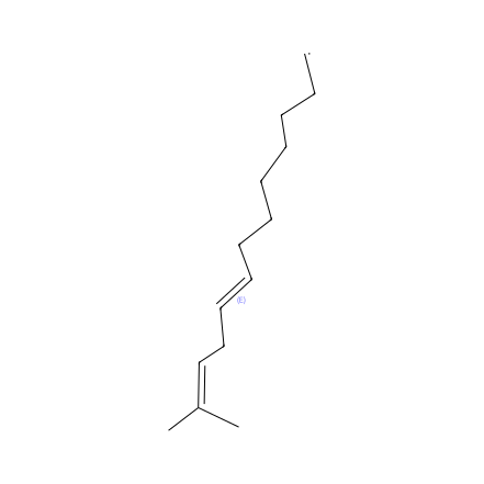 [CH2]CCCCCC/C=C/CC=C(C)C